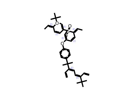 C=C/C(=C\C=C(/C=C)C(C)(C)c1ccc(OC(/C=C\C(=C/C)S(=O)(=O)C(/C=C\C(=C/C)OC(C)(C)C)=C/C)=C/C)cc1)C(C)(C)C